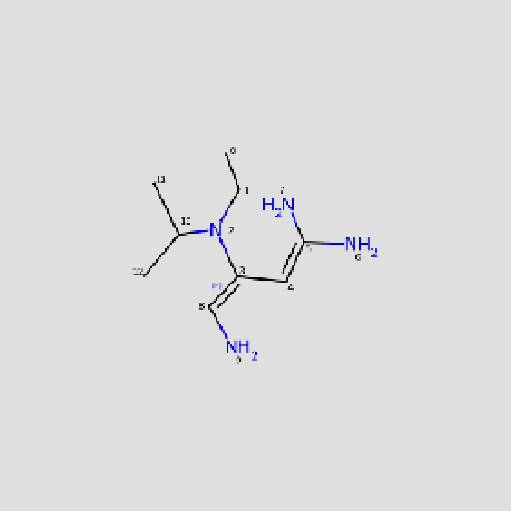 CCN(/C(C=C(N)N)=C/N)C(C)C